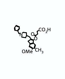 COc1cc2c(cc1C)C(OC(=O)CCC(=O)O)=C(CC1CCN(Cc3ccccc3)CC1)C2